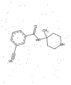 C#Cc1cccc(C(=O)NC2(C)CCNCC2)c1